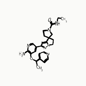 CCNC(=O)N1CCC2(CCn3nc(-c4cnc(N)c(OC(C)c5ccncc5)c4)cc32)C1